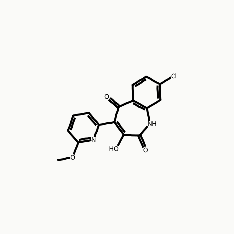 COc1cccc(-c2c(O)c(=O)[nH]c3cc(Cl)ccc3c2=O)n1